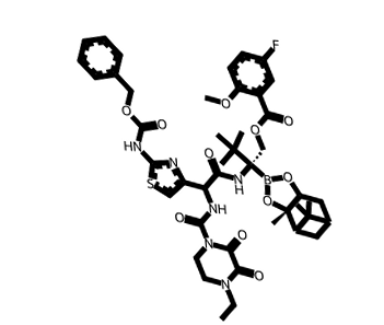 CCN1CCN(C(=O)NC(C(=O)N[C@](COC(=O)c2cc(F)ccc2OC)(B2OC3CC4CC(C4(C)C)[C@]3(C)O2)C(C)(C)C)c2csc(NC(=O)OCc3ccccc3)n2)C(=O)C1=O